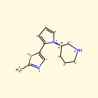 Cc1ncc(-c2cccn2[C@@H]2CCCNC2)s1